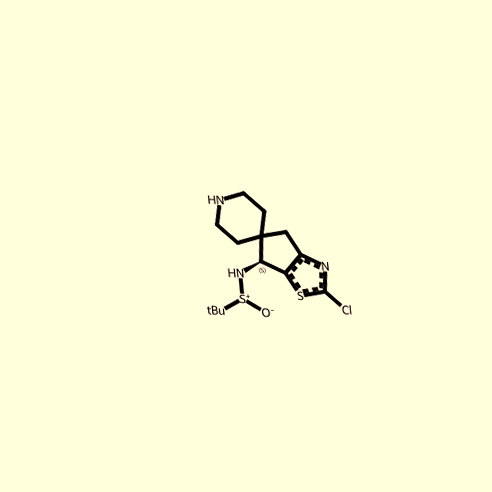 CC(C)(C)[S+]([O-])N[C@@H]1c2sc(Cl)nc2CC12CCNCC2